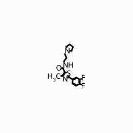 Cc1nc(-c2ccc(F)c(F)c2)sc1C(=O)NCCCN1CCCC1